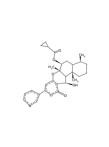 C[C@H]1CCC[C@@]2(C)C1C[C@H](OC(=O)C1CC1)[C@@]1(C)Oc3cc(-c4cccnc4)oc(=O)c3[C@H](O)C21